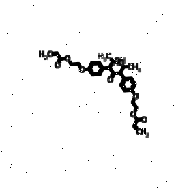 C=CC(=O)OCCOc1ccc(C(C(=O)C(c2ccc(OCCOC(=O)C=C)cc2)C(C)O)C(C)O)cc1